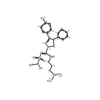 CCN(CC)S(=O)(=O)/N=C(\NCCCN(C)C)N1CC(c2ccccc2)C(c2ccc(Cl)cc2)=N1